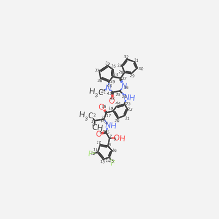 CC(C)[C@H](NC(=O)C(O)c1cc(F)cc(F)c1)C(=O)c1cccc(NC2N=C(c3ccccc3)c3ccccc3N(C)C2=O)c1